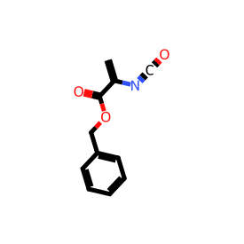 C=C(N=C=O)C(=O)OCc1ccccc1